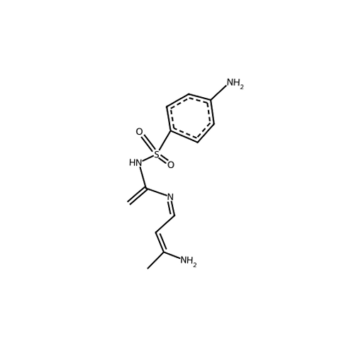 C=C(/N=C\C=C(\C)N)NS(=O)(=O)c1ccc(N)cc1